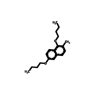 CCCCOc1ccc2c(OCCCC)c(C)ccc2c1